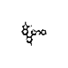 CN1Cc2ccc(-c3ncc(F)cc3-c3cnn(CC4(C)CCCC4)c3)cc2C1=O